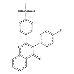 CS(=O)(=O)c1ccc(-c2oc3ccccc3c(=O)c2-c2ccc(F)cc2)cc1